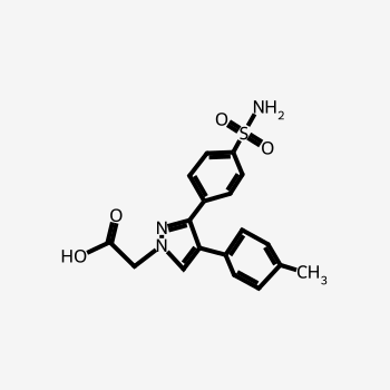 Cc1ccc(-c2cn(CC(=O)O)nc2-c2ccc(S(N)(=O)=O)cc2)cc1